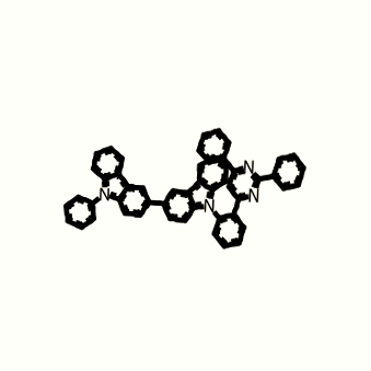 c1ccc(-c2cc(-c3ccccc3-n3c4ccccc4c4cc(-c5ccc6c(c5)c5ccccc5n6-c5ccccc5)ccc43)nc(-c3ccccc3)n2)cc1